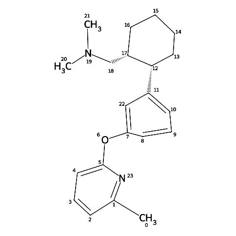 Cc1cccc(Oc2cccc([C@H]3CCCC[C@H]3CN(C)C)c2)n1